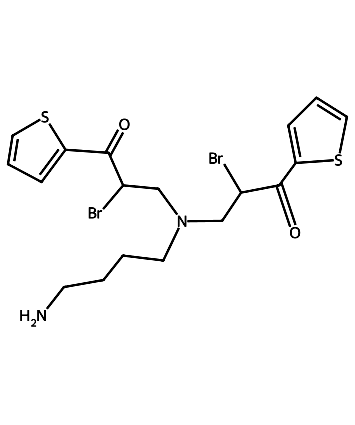 NCCCCN(CC(Br)C(=O)c1cccs1)CC(Br)C(=O)c1cccs1